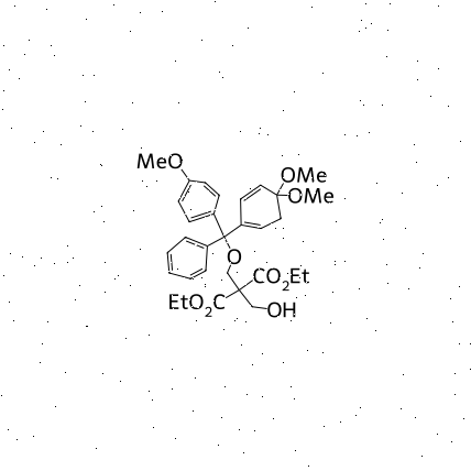 CCOC(=O)C(CO)(COC(C1=CCC(OC)(OC)C=C1)(c1ccccc1)c1ccc(OC)cc1)C(=O)OCC